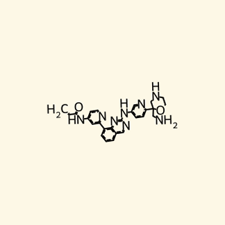 C=CC(=O)Nc1ccnc(-c2cccc3cnc(Nc4ccc(C5(CN)CNCCO5)nc4)nc23)c1